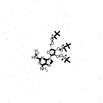 CC(C)(C)[Si](C)(C)OOC[C@H]1O[C@@H](n2cnc3c(N)nc(NN)nc32)[C@H](OO[Si](C)(C)C(C)(C)C)[C@H]1OO[Si](C)(C)C(C)(C)C